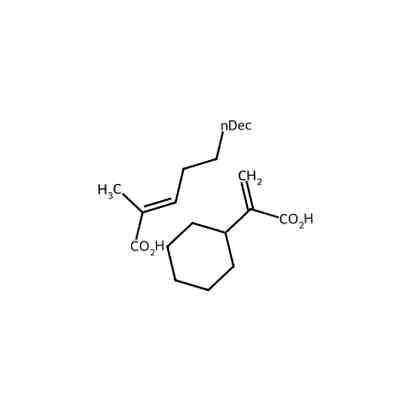 C=C(C(=O)O)C1CCCCC1.CCCCCCCCCCCCC=C(C)C(=O)O